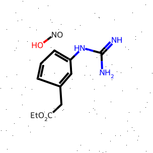 CCOC(=O)Cc1cccc(NC(=N)N)c1.O=NO